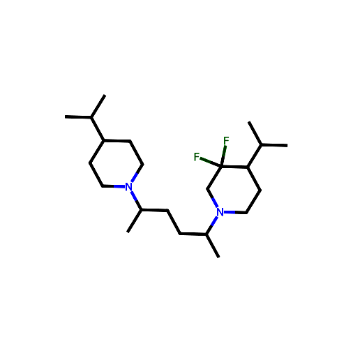 CC(C)C1CCN(C(C)CCC(C)N2CCC(C(C)C)C(F)(F)C2)CC1